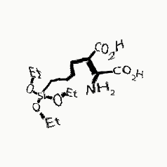 CCO[Si](CCCC(C(=O)O)=C(N)C(=O)O)(OCC)OCC